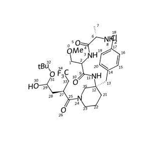 COCC(NC(=O)[C@H](C)N)C(=O)N[C@@]1(Cc2ccc(Cl)cc2)CCCN(C(=O)[C@@H](CC(O)OC(C)(C)C)CC(F)(F)F)C1